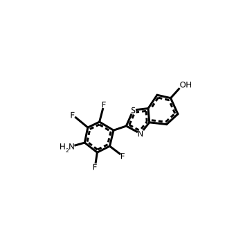 Nc1c(F)c(F)c(-c2nc3ccc(O)cc3s2)c(F)c1F